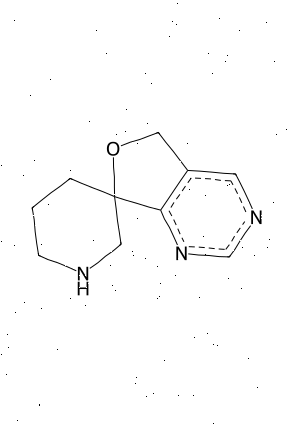 c1ncc2c(n1)C1(CCCNC1)OC2